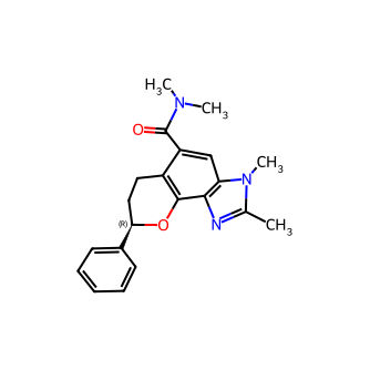 Cc1nc2c3c(c(C(=O)N(C)C)cc2n1C)CC[C@H](c1ccccc1)O3